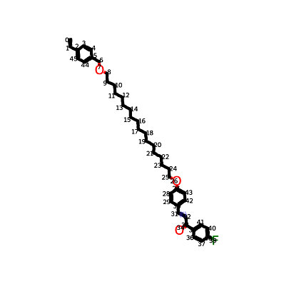 C=Cc1ccc(COCCCCCCCCCCCCCCCCCCOc2ccc(/C=C/C(=O)c3ccc(F)cc3)cc2)cc1